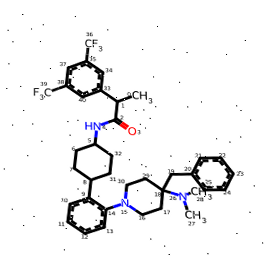 CC(C(=O)NC1CCC(c2ccccc2N2CCC(Cc3ccccc3)(N(C)C)CC2)CC1)c1cc(C(F)(F)F)cc(C(F)(F)F)c1